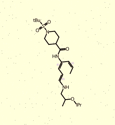 C\C=C/C(=C\C=C\NCC(C)OC(C)C)NC(=O)C1CCN(S(=O)(=O)C(C)(C)C)CC1